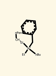 CCCCCC.CCCC[N+](CC)(CC)Cc1ccccc1